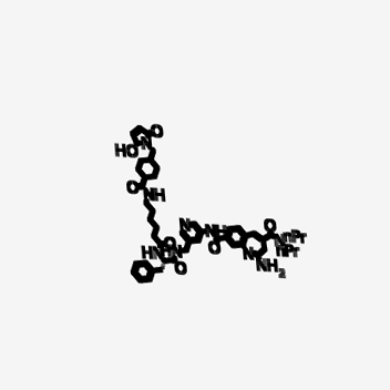 CCCN(CCC)C(=O)C1=Cc2ccc(C(=O)Nc3cncc(CNC(=O)[C@H](Cc4ccccc4)NC(=O)CCCCCNC(=O)C4CCC(CN5C(=O)C=CC5O)CC4)c3)cc2N=C(N)C1